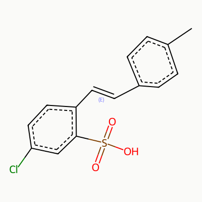 Cc1ccc(/C=C/c2ccc(Cl)cc2S(=O)(=O)O)cc1